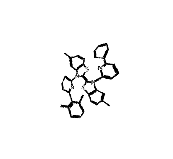 Cc1ccc2c(c1)N(c1cccc(-c3ccccc3)n1)/C(=C1\Sc3ccc(C)cc3N1c1cccc(-c3c(C)cccc3C)n1)S2